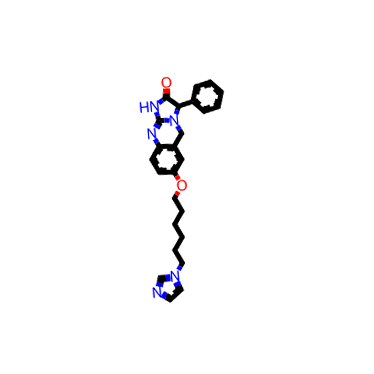 O=C1NC2=Nc3ccc(OCCCCCCn4ccnc4)cc3CN2C1c1ccccc1